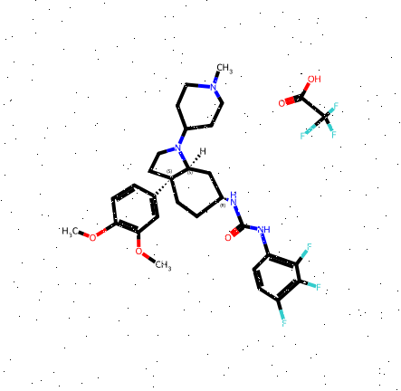 COc1ccc([C@@]23CC[C@@H](NC(=O)Nc4ccc(F)c(F)c4F)C[C@@H]2N(C2CCN(C)CC2)CC3)cc1OC.O=C(O)C(F)(F)F